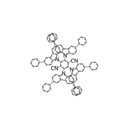 [C-]#[N+]c1c(-n2c3ccc(-c4ccccc4)cc3c3cc(-c4ccccc4)ccc32)c(-n2c3ccc(-c4ccccc4)cc3c3cc(-c4ccccc4)ccc32)c(C#N)c(-n2c3ccc(-c4ccccc4)cc3c3cc(-c4ccccc4)ccc32)c1-n1c2ccc(-c3ccccc3)cc2c2cc(-c3ccccc3)ccc21